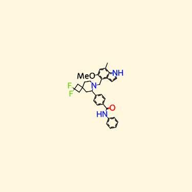 COc1cc(C)c2[nH]ccc2c1CN1CCC2(CC1c1ccc(C(=O)Nc3ccccc3)cc1)CC(F)(F)C2